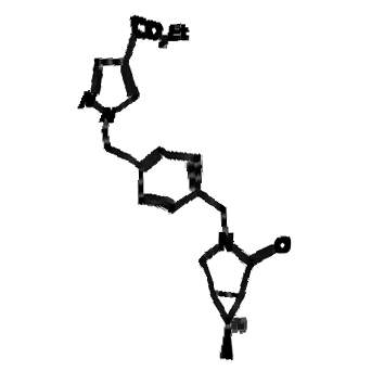 CCOC(=O)c1cnn(Cc2ccc(CN3CC4C(C3=O)[C@H]4C)cc2)c1